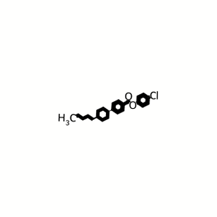 CCCCC[C@H]1CC[C@H](c2ccc(C(=O)Oc3ccc(Cl)cc3)cc2)CC1